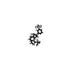 CS(=O)(=O)c1cccc(-c2cc3c(ncc4cnc(C(F)(F)F)n43)[nH]2)c1